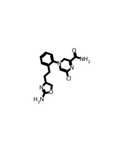 NC(=O)C1=NC(Cl)=CN(c2ccccc2CCC2COC(N)=N2)C1